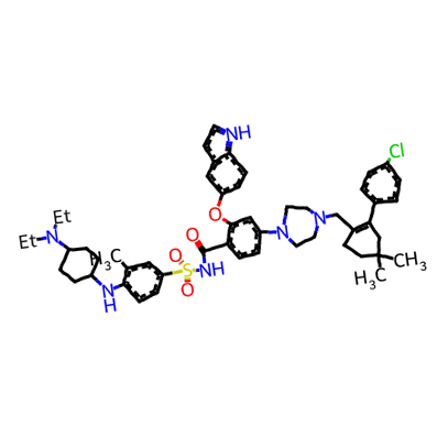 CCN(CC)C1CCC(Nc2ccc(S(=O)(=O)NC(=O)c3ccc(N4CCN(CC5=C(c6ccc(Cl)cc6)CC(C)(C)CC5)CC4)cc3Oc3ccc4[nH]ccc4c3)cc2C)CC1